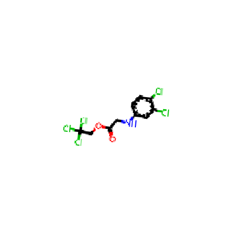 O=C(CNc1ccc(Cl)c(Cl)c1)OCC(Cl)(Cl)Cl